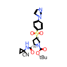 CC(C)(C)OC(=O)N1C[C@H](S(=O)(=O)c2ccc(-n3ccnc3)cc2)C[C@H]1C(=O)NC1(C#N)CC1